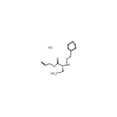 C=CCOC(=O)[C@H](CC(=O)O)NOCc1ccccc1.Cl